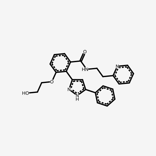 O=C(NCCc1ccccn1)c1cccc(OCCO)c1-c1cc(-c2ccccc2)[nH]n1